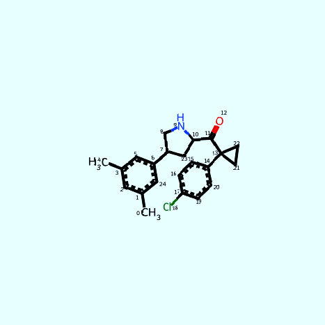 Cc1cc(C)cc(C2CNC(C(=O)C3(c4ccc(Cl)cc4)CC3)C2)c1